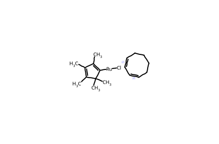 C1=C\CCCC\C=C/1.CC1=C(C)C(C)(C)[C]([Ru][Cl])=C1C